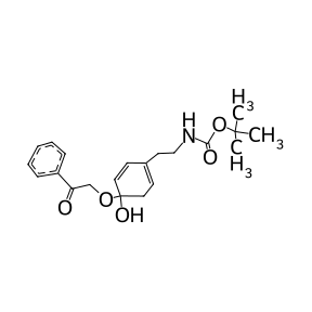 CC(C)(C)OC(=O)NCCC1=CCC(O)(OCC(=O)c2ccccc2)C=C1